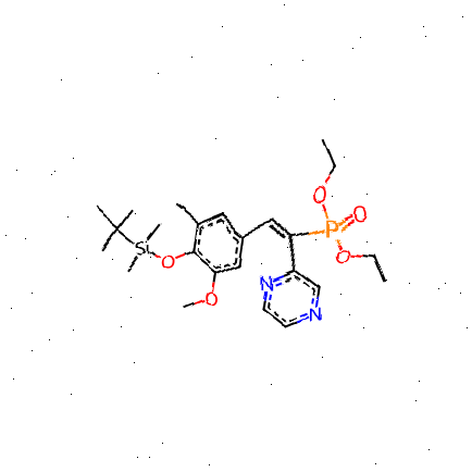 CCOP(=O)(OCC)C(=Cc1cc(C)c(O[Si](C)(C)C(C)(C)C)c(OC)c1)c1cnccn1